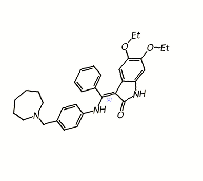 CCOc1cc2c(cc1OCC)/C(=C(/Nc1ccc(CN3CCCCCC3)cc1)c1ccccc1)C(=O)N2